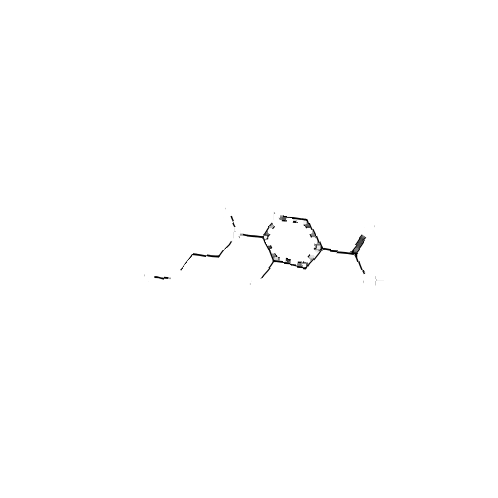 COCCN(C)c1ncc(C(=O)O)cc1Br